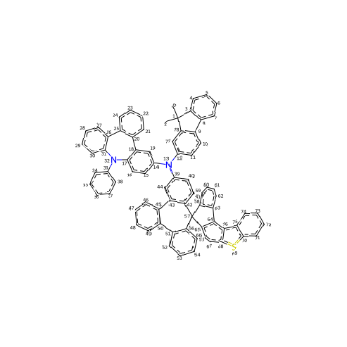 CC1(C)c2ccccc2-c2ccc(N(c3ccc4c(c3)-c3ccccc3-c3ccccc3N4c3ccccc3)c3ccc4c(c3)-c3ccccc3-c3ccccc3C43c4ccccc4-c4c3ccc3sc5ccccc5c43)cc21